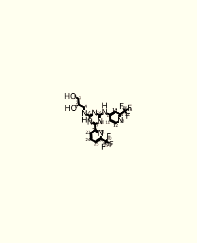 OC[C@H](O)CNc1nc(Nc2ccnc(C(F)(F)F)c2)nc(-c2cccc(C(F)(F)F)n2)n1